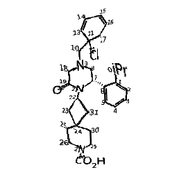 CC(C)c1ccccc1[C@H]1CN(CC2(Cl)C=CC=CC2)CC(=O)N1C1CC2(CCN(C(=O)O)CC2)C1